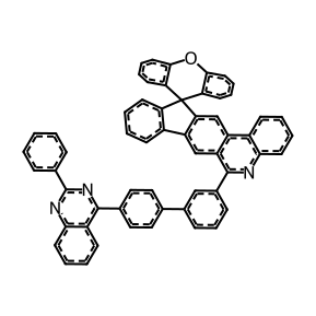 c1ccc(-c2nc(-c3ccc(-c4cccc(-c5nc6ccccc6c6cc7c(cc56)-c5ccccc5C75c6ccccc6Oc6ccccc65)c4)cc3)c3ccccc3n2)cc1